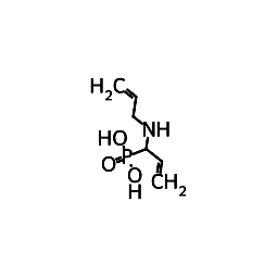 C=CCNC(C=C)P(=O)(O)O